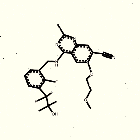 COCCOc1cc2c(NCc3cccc(C(F)(F)C(C)(C)O)c3F)nc(C)nc2cc1C#N